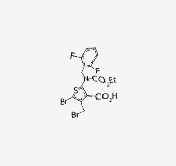 CCOC(=O)N(Cc1c(F)cccc1F)c1sc(Br)c(CBr)c1C(=O)O